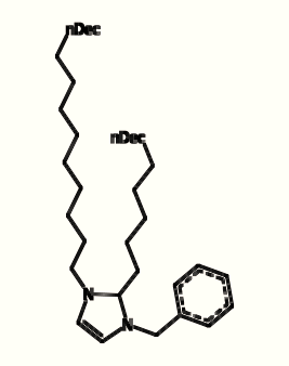 CCCCCCCCCCCCCCCCCCCN1C=CN(Cc2ccccc2)C1CCCCCCCCCCCCCCC